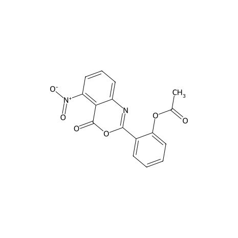 CC(=O)Oc1ccccc1-c1nc2cccc([N+](=O)[O-])c2c(=O)o1